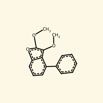 COc1oc2cccc(-c3ccccc3)c2c1OC